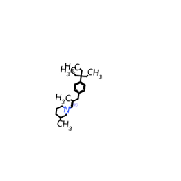 CCC(CC)(CC)c1ccc(C/C(C)=C/N2CCCC(C)C2)cc1